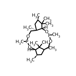 C[C@@H]1C[C@]2(C)COP(C)O[C@H]3C(C)(C)[C@H](C)C[C@]3(C)COP(C)O[C@@H]1C2(C)C